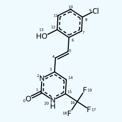 O=c1nc(C=Cc2cc(Cl)ccc2O)cc(C(F)(F)F)[nH]1